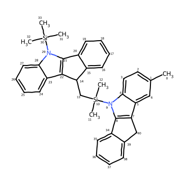 Cc1ccc2c(c1)c1c(n2[Si](C)(C)CC2c3ccccc3-c3c2c2ccccc2n3[Si](C)(C)C)-c2ccccc2C1